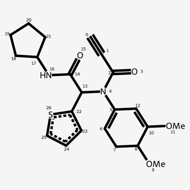 C#CC(=O)N(C1=CCC(OC)C(OC)=C1)C(C(=O)NC1CCCC1)c1cccs1